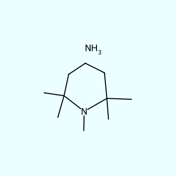 CN1C(C)(C)CCCC1(C)C.N